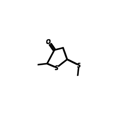 CSC1CC(=O)C(C)S1